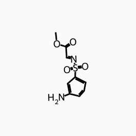 COC(=O)C=NS(=O)(=O)c1cccc(N)c1